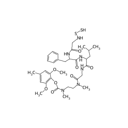 COc1cc(C)cc(OC)c1OC(=O)N(C)CCN(C)C(=O)CNC(=O)C(CC(C)C)NC(=O)C(Cc1ccccc1)NC(=O)CNSS